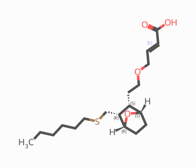 CCCCCCSC[C@@H]1[C@H](CCOC/C=C/C(=O)O)[C@@H]2CC[C@H]1O2